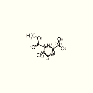 COC(=O)c1nc([N+](=O)[O-])ncc1Cl